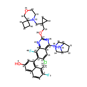 CCc1c(F)ccc2cc(O)cc(-c3c(Cl)cc4c(N5CC6CCC(C5)N6)nc(OCC5(CN6CCOCC67CCC7)CC5)nc4c3F)c12